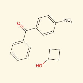 O=C(c1ccccc1)c1ccc([N+](=O)[O-])cc1.OC1CCC1